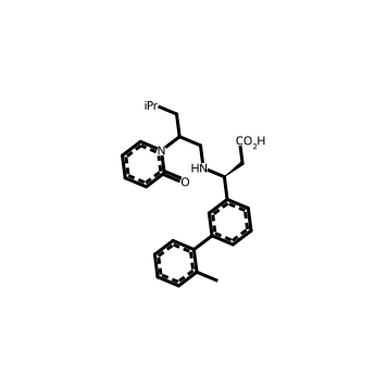 Cc1ccccc1-c1cccc([C@H](CC(=O)O)NCC(CC(C)C)n2ccccc2=O)c1